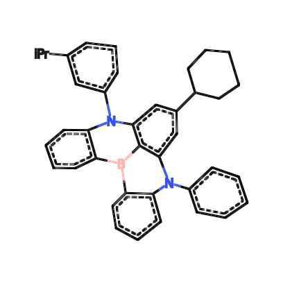 CC(C)c1cccc(N2c3ccccc3B3c4ccccc4N(c4ccccc4)c4cc(C5CCCCC5)cc2c43)c1